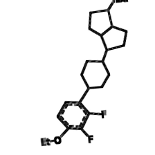 CCCCC1CCC2C(C3CCC(c4ccc(OCC)c(F)c4F)CC3)CCC12